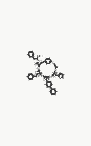 O=C1COc2ccc(cc2)C[C@H](C(=O)N[C@H](Cc2ccccc2)C(=O)O)NC(=O)[C@@H](CCc2ccccc2)NC(=O)[C@H](Cc2ccc(-c3ccccc3)cc2)NC(=O)[C@@H](Cc2cccs2)N1